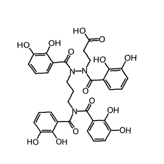 O=C(O)CCN(C(=O)c1cccc(O)c1O)N(CCCN(C(=O)c1cccc(O)c1O)C(=O)c1cccc(O)c1O)C(=O)c1cccc(O)c1O